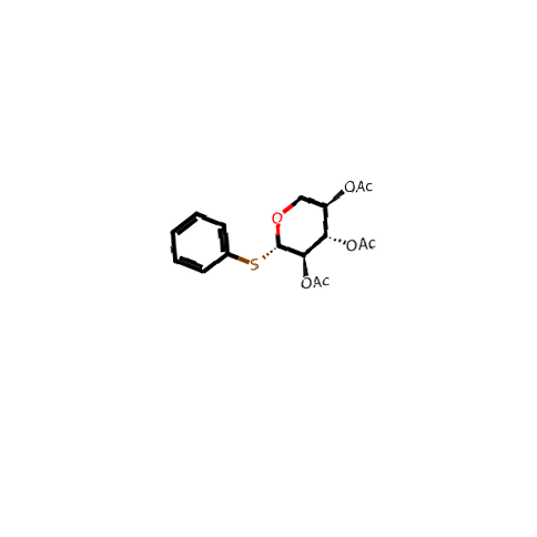 CC(=O)O[C@@H]1[C@@H](OC(C)=O)[C@H](Sc2ccccc2)OC[C@H]1OC(C)=O